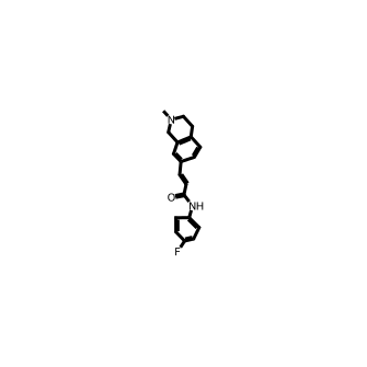 CN1CCc2ccc(/C=C/C(=O)Nc3ccc(F)cc3)cc2C1